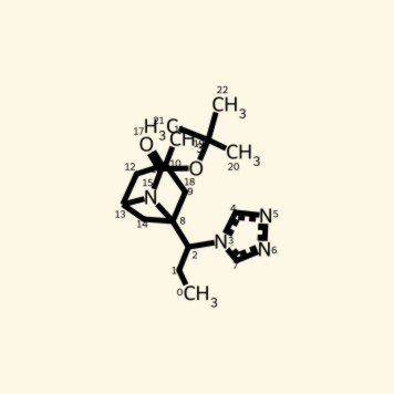 CCC(n1cnnc1)C12CC(C)CC(C1)N2C(=O)OC(C)(C)C